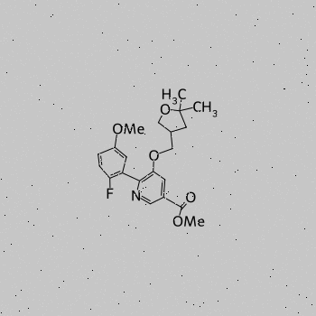 COC(=O)c1cnc(-c2cc(OC)ccc2F)c(OCC2COC(C)(C)C2)c1